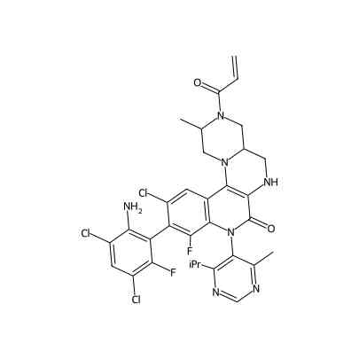 C=CC(=O)N1CC2CNc3c(c4cc(Cl)c(-c5c(N)c(Cl)cc(Cl)c5F)c(F)c4n(-c4c(C)ncnc4C(C)C)c3=O)N2CC1C